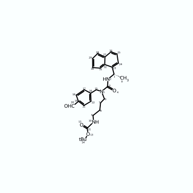 C[C@H](NC(=O)N(CCCCNC(=O)OC(C)(C)C)Cc1ccc(C=O)cc1)c1cccc2ccccc12